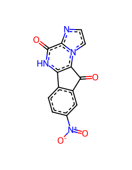 O=C1c2cc([N+](=O)[O-])ccc2-c2[nH]c(=O)c3nccn3c21